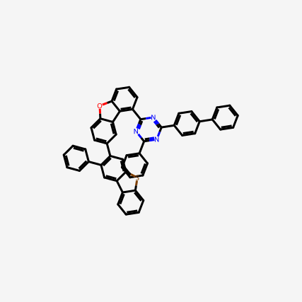 c1ccc(-c2ccc(-c3nc(-c4ccccc4)nc(-c4cccc5oc6ccc(-c7cc8sc9ccccc9c8cc7-c7ccccc7)cc6c45)n3)cc2)cc1